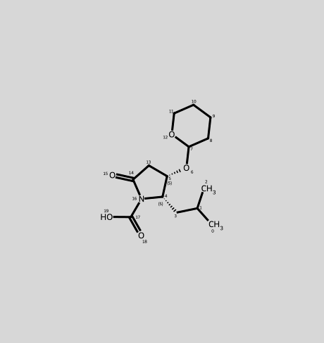 CC(C)C[C@H]1[C@@H](OC2CCCCO2)CC(=O)N1C(=O)O